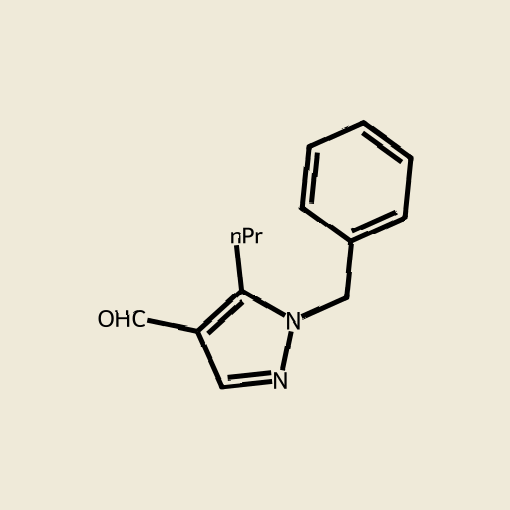 CCCc1c(C=O)cnn1Cc1ccccc1